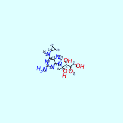 COC(CO)[C@@H](O)C(C)(O)n1cnc2c(N(C)C3CC3)nc(N)nc21